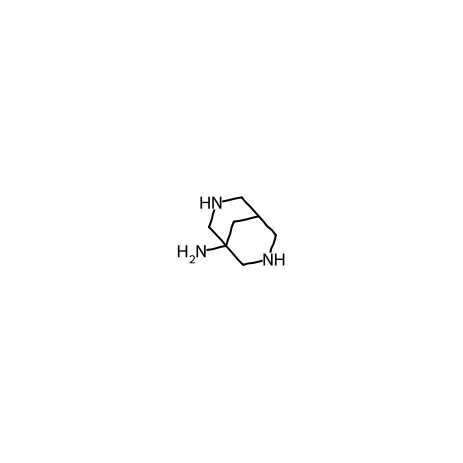 NC12CNCC(CNC1)C2